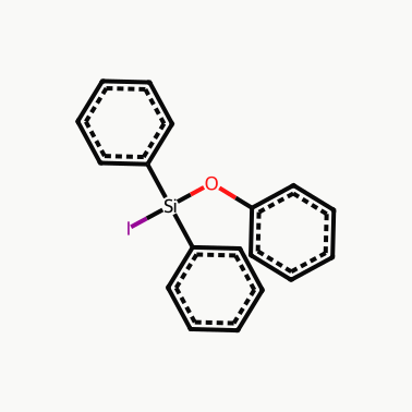 I[Si](Oc1ccccc1)(c1ccccc1)c1ccccc1